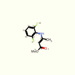 COC(=O)C=C(C)Nc1c(F)cccc1F